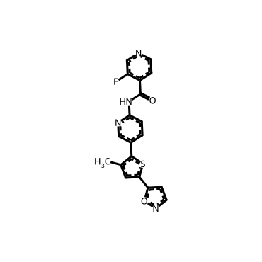 Cc1cc(-c2ccno2)sc1-c1ccc(NC(=O)c2ccncc2F)nc1